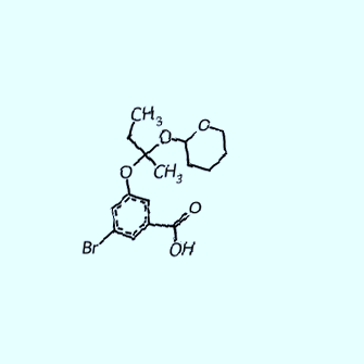 CCC(C)(Oc1cc(Br)cc(C(=O)O)c1)OC1CCCCO1